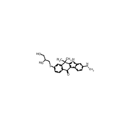 CNc1ccc2c3c([nH]c2c1)C(C)(C)c1cc(SCC(O)CO)ccc1C3=O